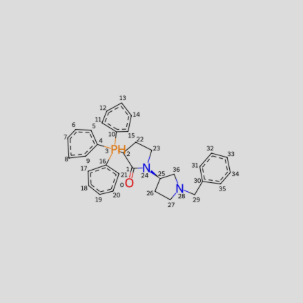 O=C1C([PH](c2ccccc2)(c2ccccc2)c2ccccc2)CCN1[C@@H]1CCN(Cc2ccccc2)C1